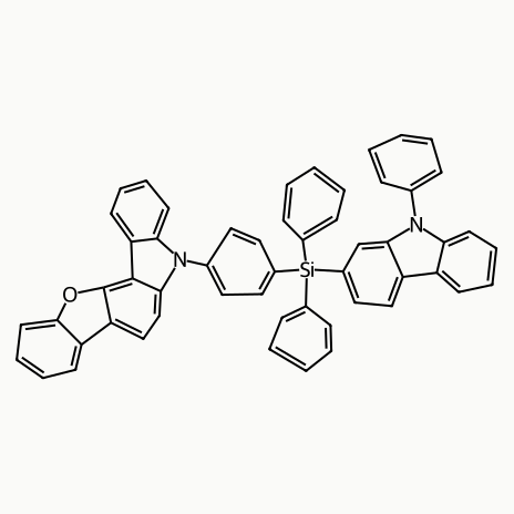 c1ccc(-n2c3ccccc3c3ccc([Si](c4ccccc4)(c4ccccc4)c4ccc(-n5c6ccccc6c6c7oc8ccccc8c7ccc65)cc4)cc32)cc1